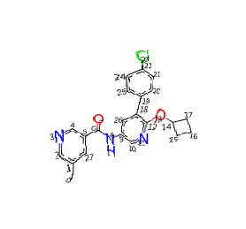 Cc1cncc(C(=O)Nc2cnc(OC3CCC3)c(-c3ccc(Cl)cc3)c2)c1